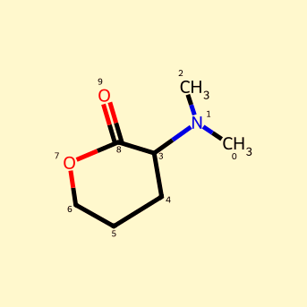 CN(C)C1CCCOC1=O